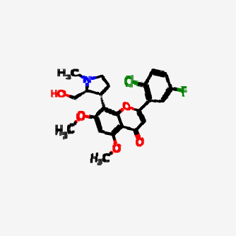 COc1cc(OC)c2c(=O)cc(-c3cc(F)ccc3Cl)oc2c1[C@H]1CCN(C)[C@@H]1CO